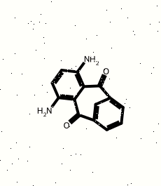 Nc1ccc(N)c2c1C(=O)c1cccc(c1)C2=O